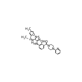 CC[C@@H](Nc1nsnc1Nc1cccc(C(=O)N2CCN(c3ccccn3)CC2)c1O)c1cc(C)co1